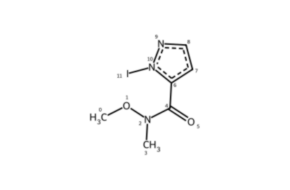 CON(C)C(=O)c1ccnn1I